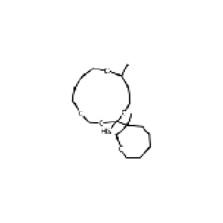 CC1CCCCCCCCC(S)(C2(C)CCCCCCC2)CCC1